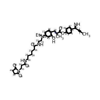 CC#CC(=N)c1ccc(OC(=O)/C(C)=C/c2ccc(N(CC)CCNC(=O)CCCCCNC(=O)CCN3C(=O)CCC3=O)cc2O)cc1